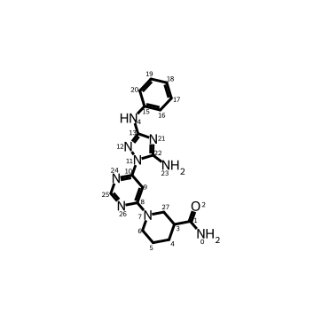 NC(=O)C1CCCN(c2cc(-n3nc(Nc4ccccc4)nc3N)ncn2)C1